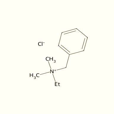 CC[N+](C)(C)Cc1ccccc1.[Cl-]